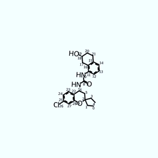 CCC1(CC)C[C@@H](NC(=O)Nc2cccc3c2C[C@@H](O)CC3)c2ccc(Cl)cc2O1